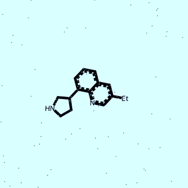 CCc1cnc2c(C3CCNC3)cccc2c1